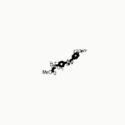 COC(=O)CCNC(C)(C)c1ccc(-c2nc(-c3ccc(OC(C)C)c(Cl)c3)no2)cc1